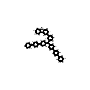 c1ccc(-c2ccc(-c3ccc(C(c4ccc(-c5ccc(-c6ccccc6)cc5)cc4)c4cccc(-c5ccc6oc7ccccc7c6c5)c4)cc3)cc2)cc1